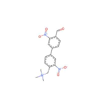 C[N+](C)(C)Cc1ccc(-c2ccc(C=O)c([N+](=O)[O-])c2)cc1[N+](=O)[O-]